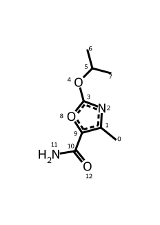 Cc1nc(OC(C)C)oc1C(N)=O